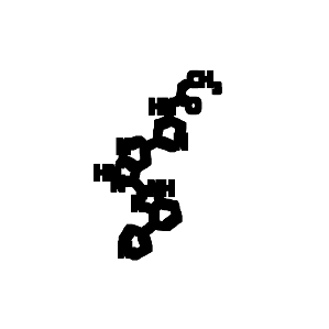 CCC(=O)Nc1cncc(-c2cnc3[nH]nc(-c4nc5c(-c6ccncc6)cccc5[nH]4)c3c2)c1